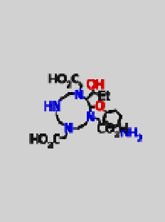 CCC(O)C1C(Oc2ccc(N)cc2)N(CC(=O)O)CCN(CC(=O)O)CCNCCN1CC(=O)O